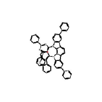 c1ccc(-c2ccc3c(c2)c2ccc4c5cc(-c6ccccc6)ccc5n(-c5cccc6oc7ccccc7c56)c4c2n3-c2nc(-c3ccccc3)nc(-c3ccccc3)n2)cc1